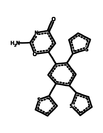 Nc1nc(=O)cc(-c2cc(-c3cccs3)c(-c3cccs3)cc2-c2cccs2)o1